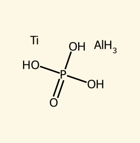 O=P(O)(O)O.[AlH3].[Ti]